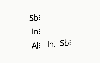 [Al].[In].[In].[Sb].[Sb]